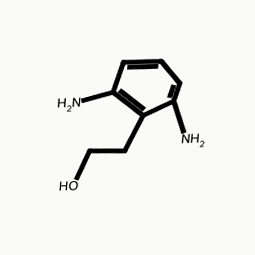 Nc1cccc(N)c1CCO